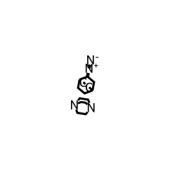 C1CN2CCN1CC2.[N-]=[N+]=C1CC2CCC1CC2